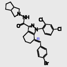 O=C(NN1CC2CCCC2C1)c1nn(-c2ccc(Cl)cc2Cl)c2c1CCC/C2=C\c1ccc(Br)cc1